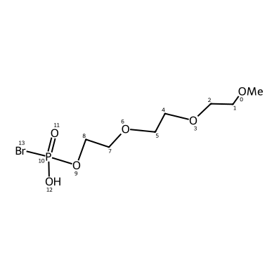 COCCOCCOCCOP(=O)(O)Br